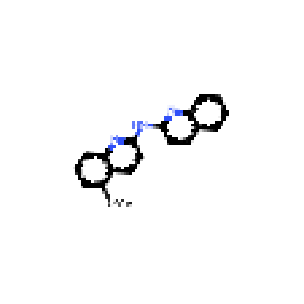 COc1cccc2nc(Nc3ccc4ccccc4n3)ccc12